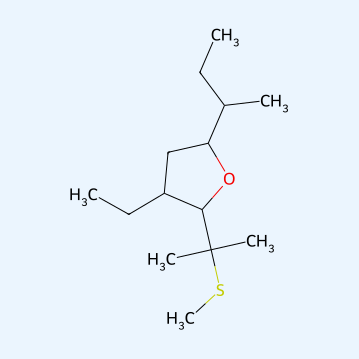 CCC(C)C1CC(CC)C(C(C)(C)SC)O1